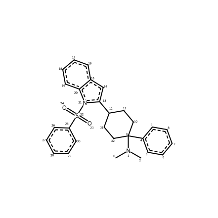 CN(C)C1(c2ccccc2)CCC(c2cc3ccccc3n2S(=O)(=O)c2ccccc2)CC1